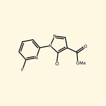 COC(=O)c1cnn(-c2cccc(F)n2)c1Cl